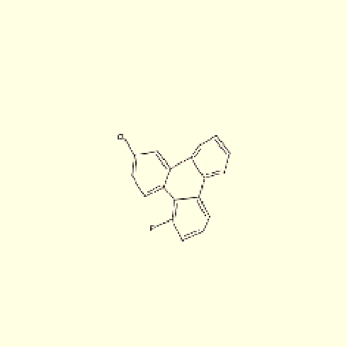 Fc1cccc2c3ccccc3c3cc(Cl)ccc3c12